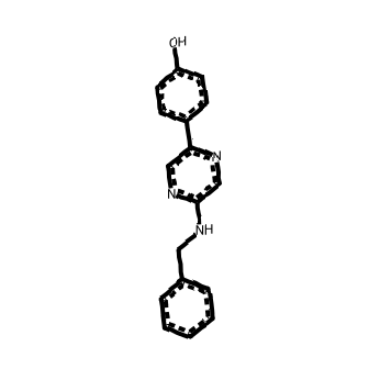 Oc1ccc(-c2cnc(NCc3ccccc3)cn2)cc1